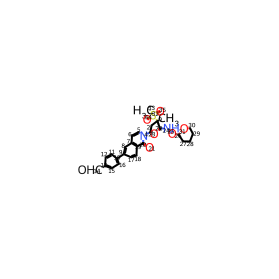 C[C@@](CCn1ccc2cc(-c3ccc(C=O)cc3)ccc2c1=O)(C(=O)NOC1CCCCO1)S(C)(=O)=O